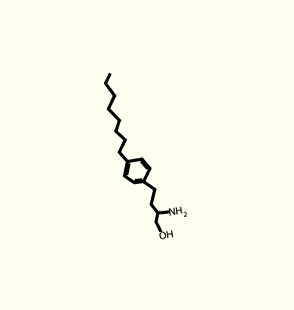 CCCCCCCCc1ccc(CCC(N)CO)cc1